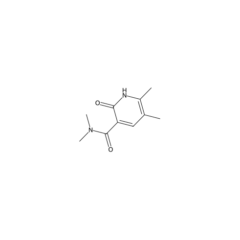 Cc1cc(C(=O)N(C)C)c(=O)[nH]c1C